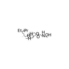 CC[C@H](CC[C@@H](C)[C@H]1CC[C@H]2[C@@H]3CC=C4C[C@@H](OC(=O)CCNCC(C)O)CC[C@]4(C)[C@H]3CC[C@]12C)C(C)C